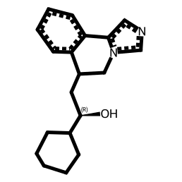 O[C@H](CC1Cn2cncc2-c2ccccc21)C1CCCCC1